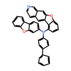 c1ccc(-c2ccc(N(c3ccc4c(c3)oc3ccccc34)c3cccc4oc5cc6cnccc6cc5c34)cc2)cc1